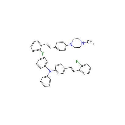 CN1CCN(c2ccc(C=Cc3ccccc3F)cc2)CC1.Fc1ccccc1C=Cc1ccc(N(c2ccccc2)c2ccccc2)cc1